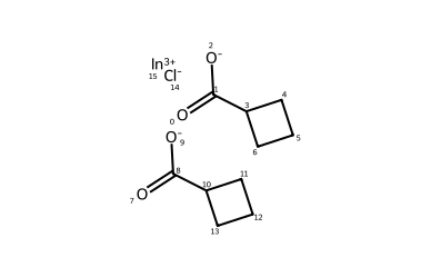 O=C([O-])C1CCC1.O=C([O-])C1CCC1.[Cl-].[In+3]